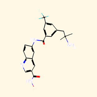 CC(C)(N)Cc1cc(C(=O)Nc2ccc3ncc(C(=O)NO)cc3c2)cc(C(F)(F)F)c1